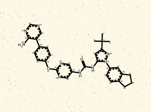 CC(C)(C)c1cc(NC(=O)Nc2cnc(Oc3ccc(-c4cncnc4N)cc3)nc2)n(-c2ccc3c(c2)CCC3)n1